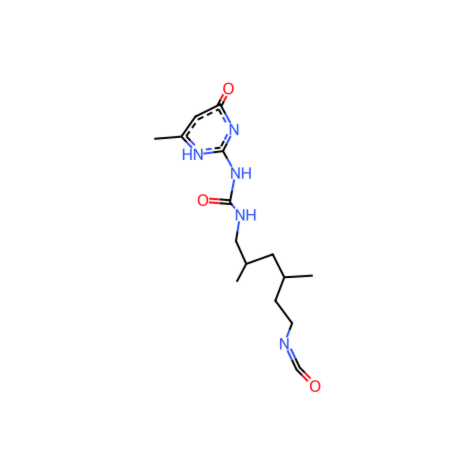 Cc1cc(=O)nc(NC(=O)NCC(C)CC(C)CCN=C=O)[nH]1